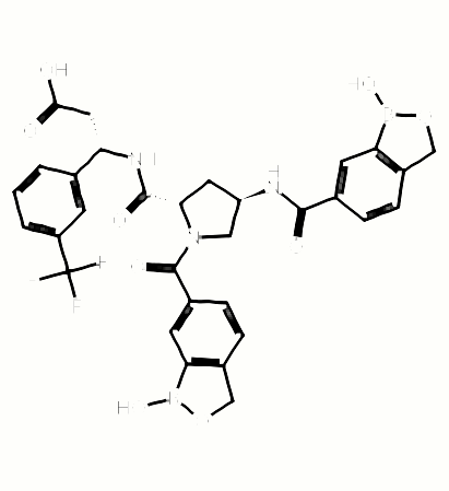 O=C(O)C[C@H](NC(=O)[C@@H]1C[C@@H](NC(=O)c2ccc3c(c2)B(O)OC3)CN1C(=O)c1ccc2c(c1)B(O)OC2)c1cccc(C(F)(F)F)c1